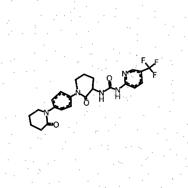 O=C(Nc1ccc(C(F)(F)F)cn1)NC1CCCN(c2ccc(N3CCCCC3=O)cc2)C1=O